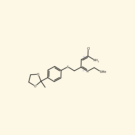 CSC/N=C(\C=C(/N)Cl)CSc1ccc(C2(C)OCCO2)cc1